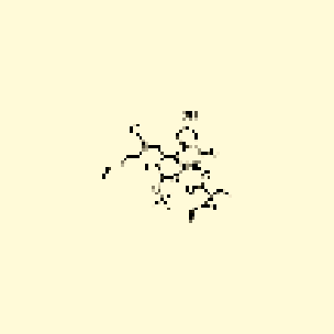 C=CCCCN(C[C@H](NC(=O)OC(C)(C)C)C(=O)N1C[C@H](O)C[C@H]1C(=O)NOC(=O)[C@]1(CC)C[C@H]1C=C)C1CC1